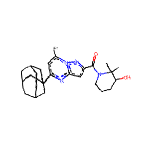 CC(C)c1cc(C23CC4CC(CC(C4)C2)C3)nc2cc(C(=O)N3CCCC(O)C3(C)C)nn12